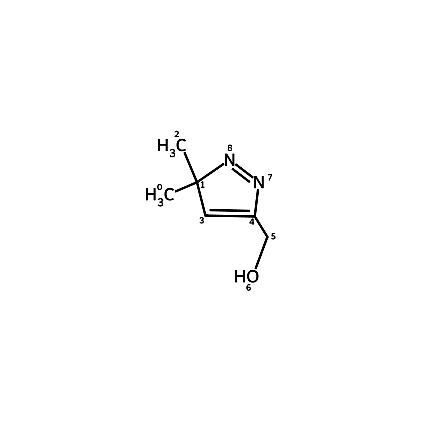 CC1(C)C=C(CO)N=N1